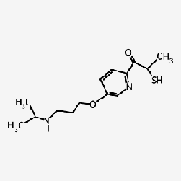 CC(C)NCCCOc1ccc(C(=O)C(C)S)nc1